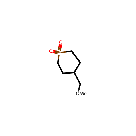 COCC1CCS(=O)(=O)CC1